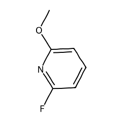 COc1cccc(F)n1